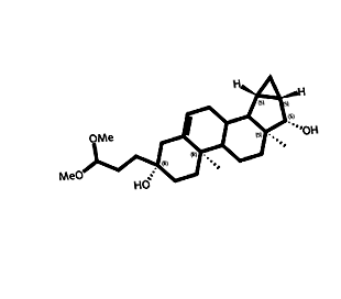 COC(CC[C@]1(O)CC[C@@]2(C)C(=CCC3C2CC[C@@]2(C)C3[C@@H]3C[C@@H]3[C@@H]2O)C1)OC